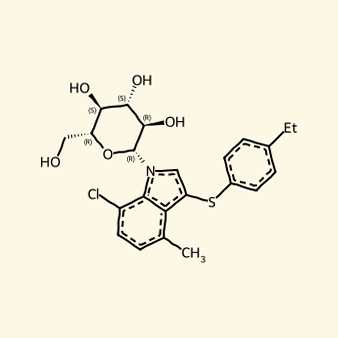 CCc1ccc(Sc2cn([C@@H]3O[C@H](CO)[C@@H](O)[C@H](O)[C@H]3O)c3c(Cl)ccc(C)c23)cc1